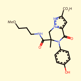 COCCCNC(=O)C1(C)Cn2nc(C(=O)O)cc2C(=O)N1c1ccc(O)cc1